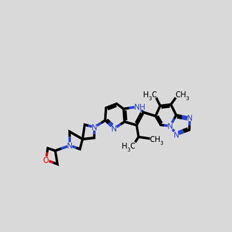 Cc1c(-c2[nH]c3ccc(N4CC5(C4)CN(C4COC4)C5)nc3c2C(C)C)cn2ncnc2c1C